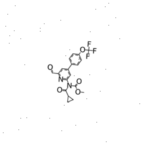 COC(=O)N(C(=O)C1CC1)c1cc(-c2ccc(OC(F)(F)F)cc2)cc(C=O)n1